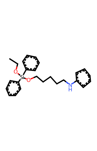 CCO[Si](OCCCCCNc1ccccc1)(c1ccccc1)c1ccccc1